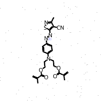 C=C(C)C(=O)OCCN(CCOC(=O)C(=C)C)c1ccc(/N=N/c2snc(C)c2C#N)cc1